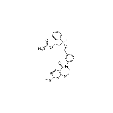 CSc1ncc2c(n1)N(C)CCN(c1cccc(CO[C@@](C)(CCOC(N)=O)c3ccccc3)c1)C2=O